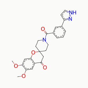 COc1cc2c(cc1OC)C(=O)CC1(CCN(C(=O)c3cccc(-c4cc[nH]n4)c3)CC1)O2